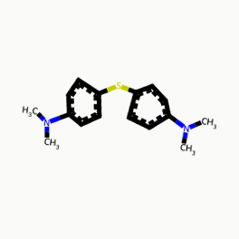 CN(C)c1ccc(Sc2ccc(N(C)C)cc2)cc1